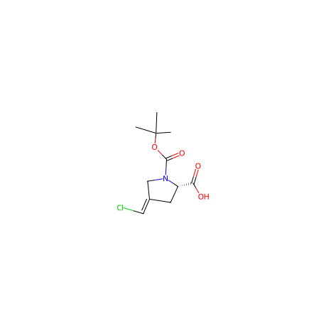 CC(C)(C)OC(=O)N1CC(=CCl)C[C@H]1C(=O)O